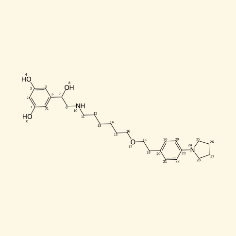 Oc1cc(O)cc(C(O)CNCCCCCCOCCc2ccc(N3CCCC3)cc2)c1